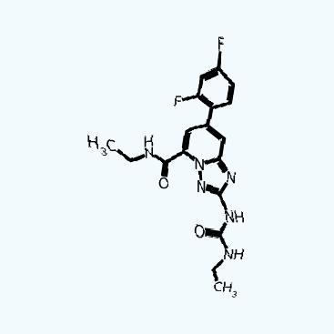 CCNC(=O)Nc1nc2cc(-c3ccc(F)cc3F)cc(C(=O)NCC)n2n1